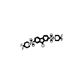 O=C1c2cc(S(=O)(=O)N3CCC(F)(F)CC3)ccc2-c2ccc(S(=O)(=O)N3CCC(F)(F)CC3)cc21